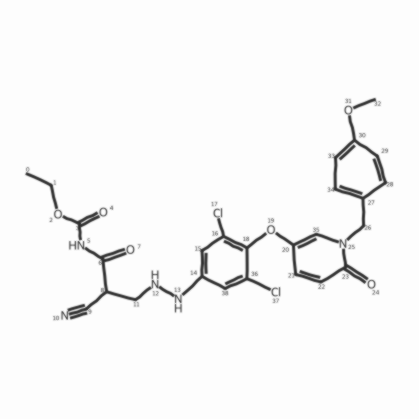 CCOC(=O)NC(=O)C(C#N)CNNc1cc(Cl)c(Oc2ccc(=O)n(Cc3ccc(OC)cc3)c2)c(Cl)c1